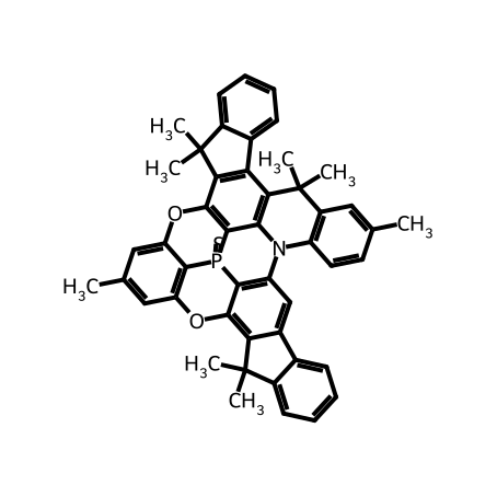 Cc1cc2c3c(c1)Oc1c4c(c5c6c1P3(=S)c1c(cc3c(c1O2)C(C)(C)c1ccccc1-3)N6c1ccc(C)cc1C5(C)C)-c1ccccc1C4(C)C